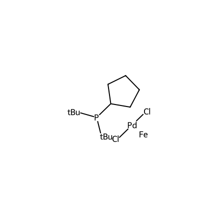 CC(C)(C)P(C1CCCC1)C(C)(C)C.[Cl][Pd][Cl].[Fe]